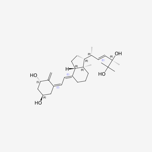 C=C1/C(=C\C=C2/CCC[C@]3(C)[C@@H]([C@H](C)/C=C/[C@@](C)(O)C(C)(C)O)CC[C@@H]23)C[C@@H](O)C[C@@H]1O